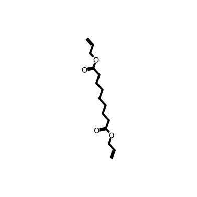 C=CCOC(=O)CCCCCCCC(=O)OCC=C